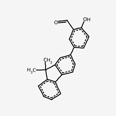 CC1(C)c2ccccc2-c2ccc(-c3ccc(O)c(C=O)c3)cc21